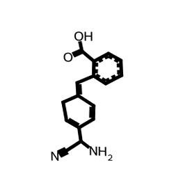 N#CC(N)C1=CCC(=Cc2ccccc2C(=O)O)C=C1